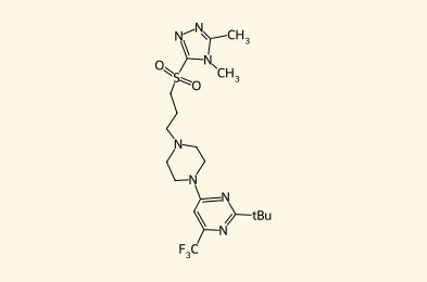 Cc1nnc(S(=O)(=O)CCCN2CCN(c3cc(C(F)(F)F)nc(C(C)(C)C)n3)CC2)n1C